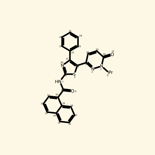 CC(C)n1nc(-c2sc(NC(=O)c3cccc4ccccc34)nc2-c2ccccc2)ccc1=O